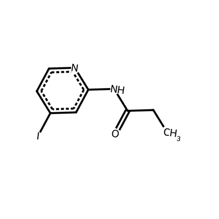 CCC(=O)Nc1cc(I)ccn1